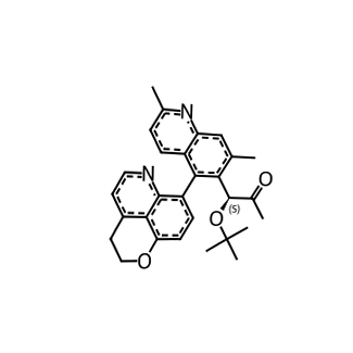 CC(=O)[C@@H](OC(C)(C)C)c1c(C)cc2nc(C)ccc2c1-c1ccc2c3c(ccnc13)CCO2